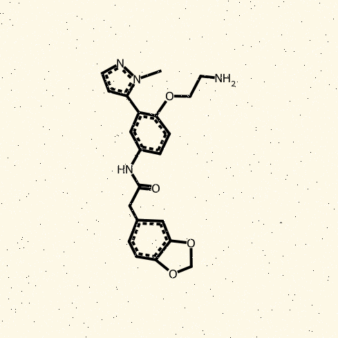 Cn1nccc1-c1cc(NC(=O)Cc2ccc3c(c2)OCO3)ccc1OCCN